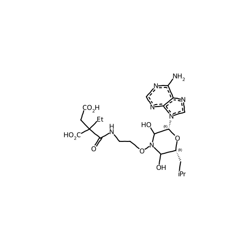 CCC(CC(=O)O)(C(=O)O)C(=O)NCCON1C(O)[C@H](n2cnc3c(N)ncnc32)O[C@H](CC(C)C)C1O